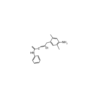 C=C(Nc1ccccc1)S/C=C(\CC)Cc1cc(C)c(N)cc1C